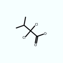 CC(C)C(Cl)(Cl)C([O])=O